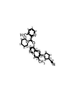 Cc1cccnc1C(=O)N1CCCC[C@H]1c1cc2nc(N3CCC(C#N)C3)c(C)cn2n1